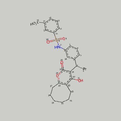 CC(C)C(c1cccc(NS(=O)(=O)c2cccc(C(=O)O)c2)c1)c1c(O)c2c(oc1=O)CCCCCC2